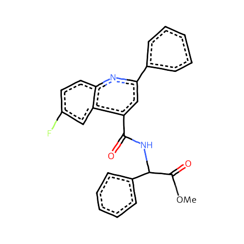 COC(=O)C(NC(=O)c1cc(-c2ccccc2)nc2ccc(F)cc12)c1ccccc1